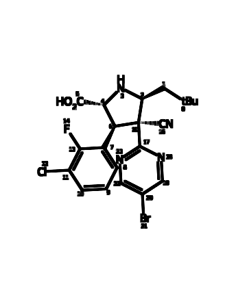 CC(C)(C)C[C@@H]1N[C@@H](C(=O)O)[C@H](c2cccc(Cl)c2F)[C@]1(C#N)c1ncc(Br)cn1